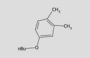 CCCCOc1ccc(C)c(C)c1